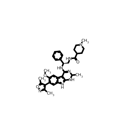 COc1cc2c3c([nH]c2cc1-c1c(C)noc1C)NC(C)N=C3N[C@H](CNC(=O)C1CCN(C)CC1)c1ccccc1